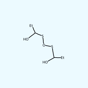 CCC(O)SOSC(O)CC